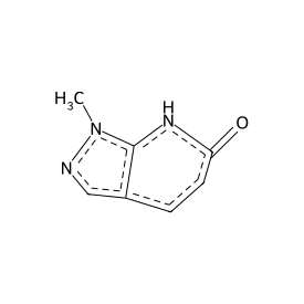 Cn1ncc2ccc(=O)[nH]c21